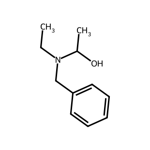 CCN(Cc1ccccc1)C(C)O